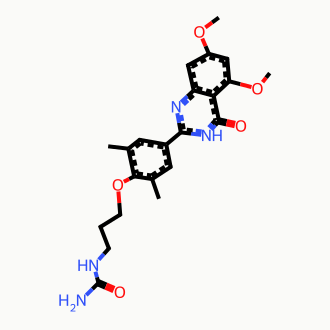 COc1cc(OC)c2c(=O)[nH]c(-c3cc(C)c(OCCCNC(N)=O)c(C)c3)nc2c1